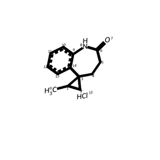 CC1CC12CCC(=O)Nc1ccccc12.Cl